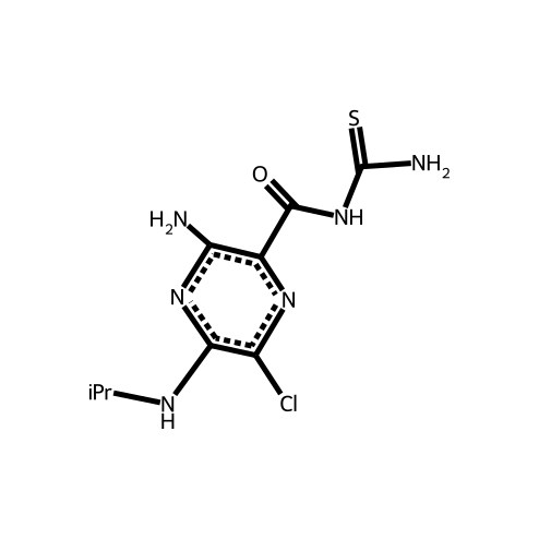 CC(C)Nc1nc(N)c(C(=O)NC(N)=S)nc1Cl